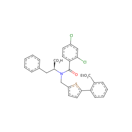 CCOC(=O)c1ccccc1-c1ccc(CN(C(=O)c2ccc(Cl)cc2Cl)[C@@H](Cc2ccccc2)C(=O)O)s1